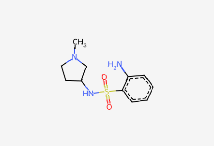 CN1CCC(NS(=O)(=O)c2ccccc2N)C1